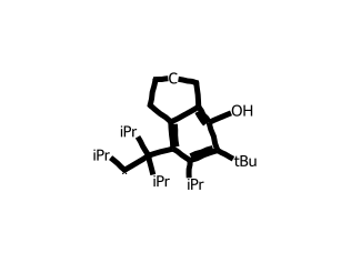 CC(C)[C]C(c1c2c(c(O)c(C(C)(C)C)c1C(C)C)CCCC2)(C(C)C)C(C)C